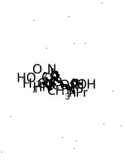 CCCN(CCCCOc1ccc([N+](=O)[O-])cc1C1C(C(=O)O)=C(C)NC(C)=C1C(=O)O)c1cccc(O)c1